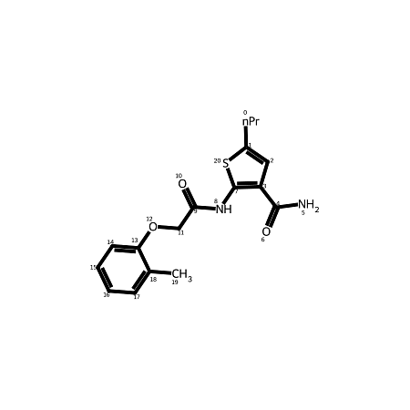 CCCc1cc(C(N)=O)c(NC(=O)COc2ccccc2C)s1